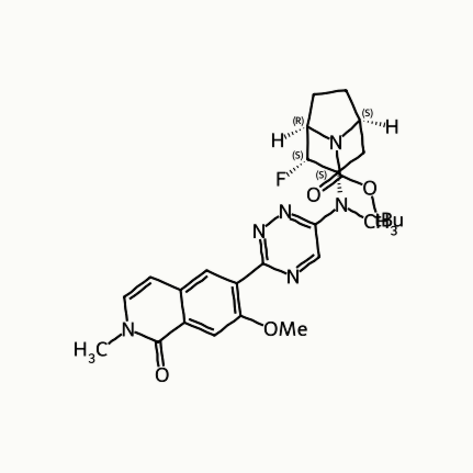 COc1cc2c(=O)n(C)ccc2cc1-c1ncc(N(C)[C@H]2C[C@@H]3CC[C@H]([C@H]2F)N3C(=O)OC(C)(C)C)nn1